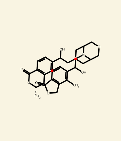 Cc1c(C(O)CN2C3COCC2CN(CC(O)c2ccc4c(c2)C[C@H](C)OC4=O)C3)ccc2c1COC2=O